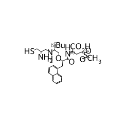 CC[C@H](C)C(COC(Cc1cccc2ccccc12)C(=O)N[C@H](CCS(C)(=O)=O)C(=O)O)NCC(N)CS